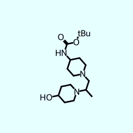 CC(CN1CCC(NC(=O)OC(C)(C)C)CC1)N1CCC(O)CC1